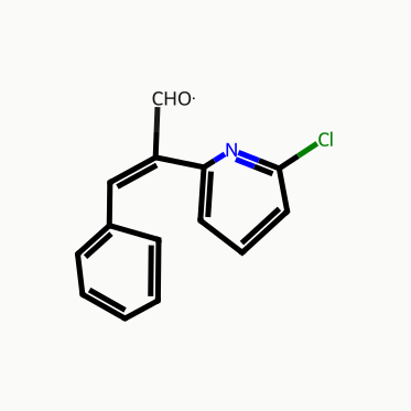 O=[C]C(=Cc1ccccc1)c1cccc(Cl)n1